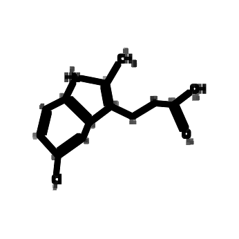 Cc1[nH]c2ccc(Cl)cc2c1CCC(=O)O